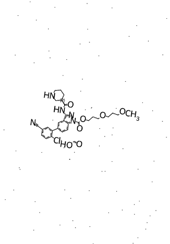 COCCCOCCCOC(=O)n1nc(NC(=O)[C@@H]2CCCNC2)c2cc(-c3cc(C#N)ccc3Cl)ccc21.O=CO